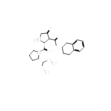 CCOC(OCC)[C@@H]1CCCN1C(=O)[C@H]1NCC(=S)C1C(=O)C[C@H]1CCc2ccccc2C1